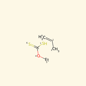 C=CC.CCOC(=S)S